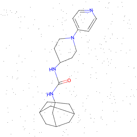 O=C(NC1CCN(c2ccncc2)CC1)NC12CC3CC(CC(C3)C1)C2